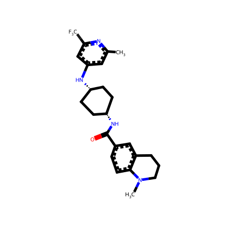 Cc1cc(N[C@H]2CC[C@@H](NC(=O)c3ccc4c(c3)CCCN4C)CC2)cc(C(F)(F)F)n1